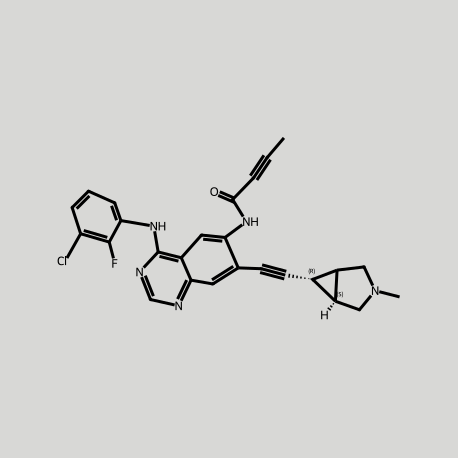 CC#CC(=O)Nc1cc2c(Nc3cccc(Cl)c3F)ncnc2cc1C#C[C@@H]1C2CN(C)C[C@H]21